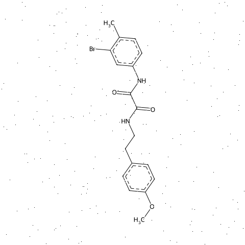 COc1ccc(CCNC(=O)C(=O)Nc2ccc(C)c(Br)c2)cc1